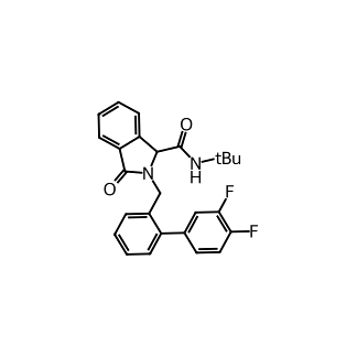 CC(C)(C)NC(=O)C1c2ccccc2C(=O)N1Cc1ccccc1-c1ccc(F)c(F)c1